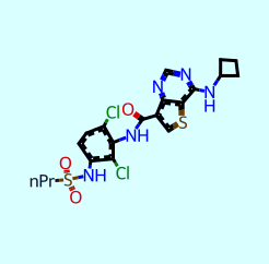 CCCS(=O)(=O)Nc1ccc(Cl)c(NC(=O)c2csc3c(NC4CCC4)ncnc23)c1Cl